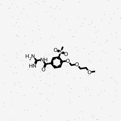 COCCOCOc1ccc(C(=O)NC(=N)N)cc1S(C)(=O)=O